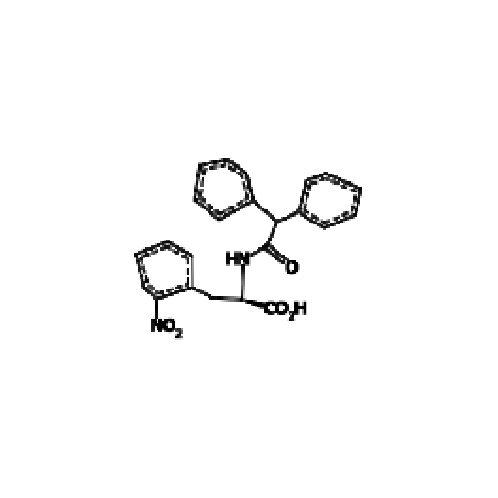 O=C(N[C@H](Cc1ccccc1[N+](=O)[O-])C(=O)O)C(c1ccccc1)c1ccccc1